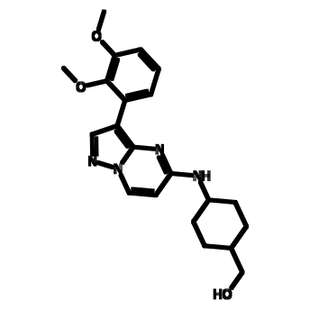 COc1cccc(-c2cnn3ccc(NC4CCC(CO)CC4)nc23)c1OC